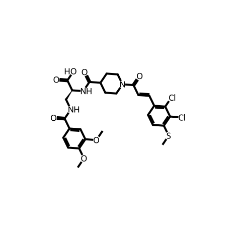 COc1ccc(C(=O)NC[C@H](NC(=O)C2CCN(C(=O)C=Cc3ccc(SC)c(Cl)c3Cl)CC2)C(=O)O)cc1OC